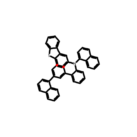 c1cc(-c2ccccc2N(c2ccc3sc4ccccc4c3c2)c2cccc3ccccc23)cc(-c2cccc3ccccc23)c1